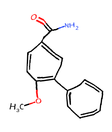 COc1ccc(C(N)=O)cc1-c1ccccc1